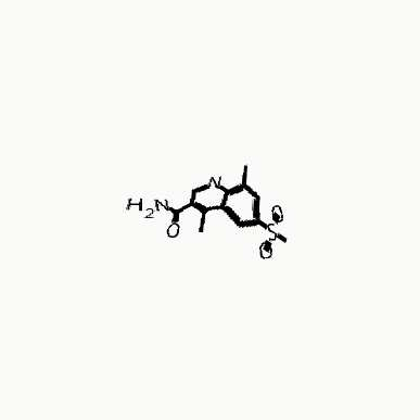 Cc1c(C(N)=O)cnc2c(C)cc(S(C)(=O)=O)cc12